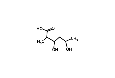 CC(O)CC(O)C(C)C(=O)O